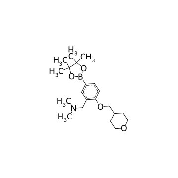 CN(C)Cc1cc(B2OC(C)(C)C(C)(C)O2)ccc1OCC1CCOCC1